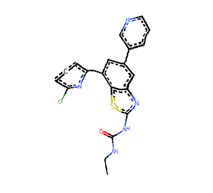 CCNC(=O)Nc1nc2cc(-c3cccnc3)cc(-c3cccc(Cl)n3)c2s1